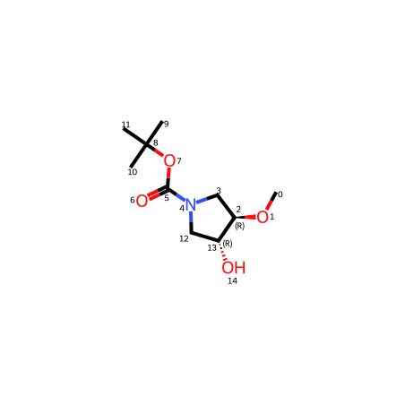 CO[C@@H]1CN(C(=O)OC(C)(C)C)C[C@H]1O